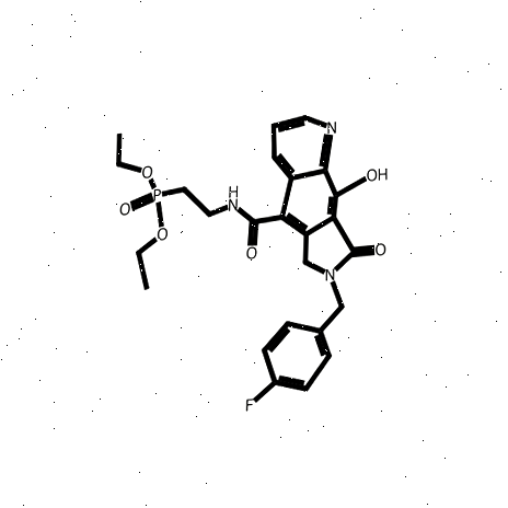 CCOP(=O)(CCNC(=O)c1c2c(c(O)c3ncccc13)C(=O)N(Cc1ccc(F)cc1)C2)OCC